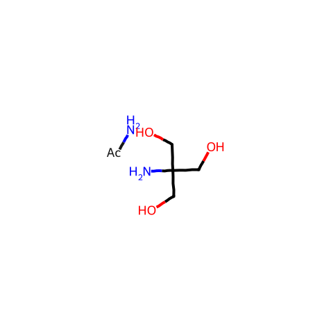 CC(N)=O.NC(CO)(CO)CO